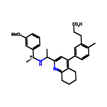 COc1cccc([C@@H](C)NC(C)c2cc(-c3ccc(C)c(CCC(=O)O)c3)c3c(n2)CCCC3)c1